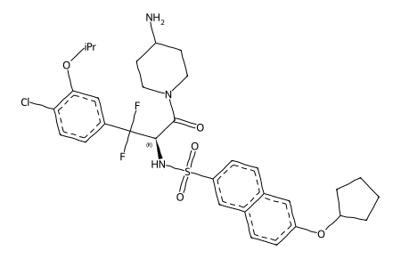 CC(C)Oc1cc(C(F)(F)[C@H](NS(=O)(=O)c2ccc3cc(OC4CCCC4)ccc3c2)C(=O)N2CCC(N)CC2)ccc1Cl